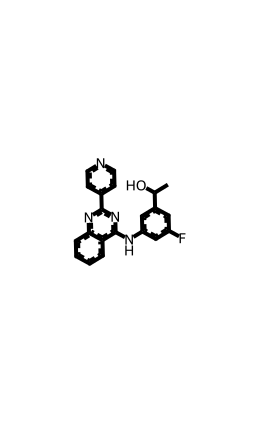 CC(O)c1cc(F)cc(Nc2nc(-c3ccncc3)nc3ccccc23)c1